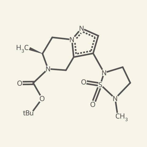 C[C@H]1Cn2ncc(N3CCN(C)S3(=O)=O)c2CN1C(=O)OC(C)(C)C